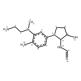 CN(CCN)c1nc(N2CCC(O)C2NC=O)ccc1N